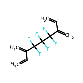 C=CC(=C)C(F)(F)C(F)(F)C(F)(F)C(=C)C=C